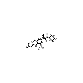 CN(C)CC1CCc2cc(NC(=O)Nc3ccccc3)cc(N(C)C)c2C1